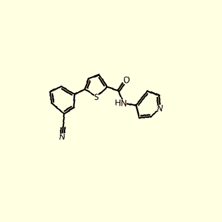 N#Cc1cccc(-c2ccc(C(=O)Nc3ccncc3)s2)c1